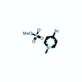 CC(=O)c1cc[n+](C)cc1.COS(=O)(=O)[O-]